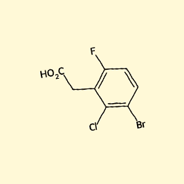 O=C(O)Cc1c(F)ccc(Br)c1Cl